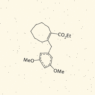 CCOC(=O)/C1=C(\Cc2cc(OC)cc(OC)c2)CCCCCC1